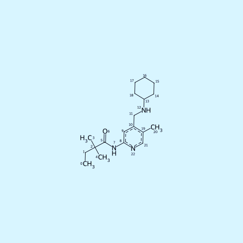 CCC(C)(C)C(=O)Nc1cc(CNC2CCCCC2)c(C)cn1